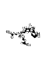 CC(C)(C)C(=O)OCOP(=O)(OCOC(=O)C(C)(C)C)OC[C@@]1(F)O[C@@H](n2ccc(=O)[nH]c2=O)[C@](C)(O)[C@@H]1O